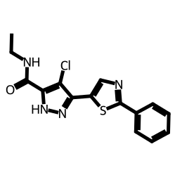 CCNC(=O)c1[nH]nc(-c2cnc(-c3ccccc3)s2)c1Cl